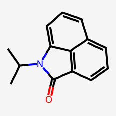 CC(C)N1C(=O)c2cccc3cccc1c23